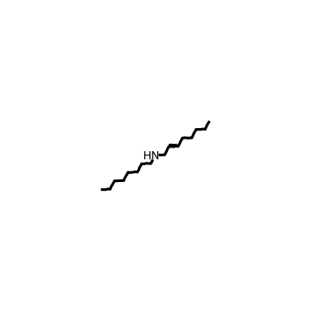 CCCCCC=CCNCCCCCCCC